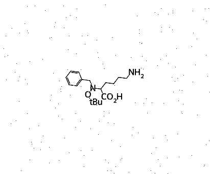 CC(C)(C)ON(Cc1ccccc1)C(CCCCN)C(=O)O